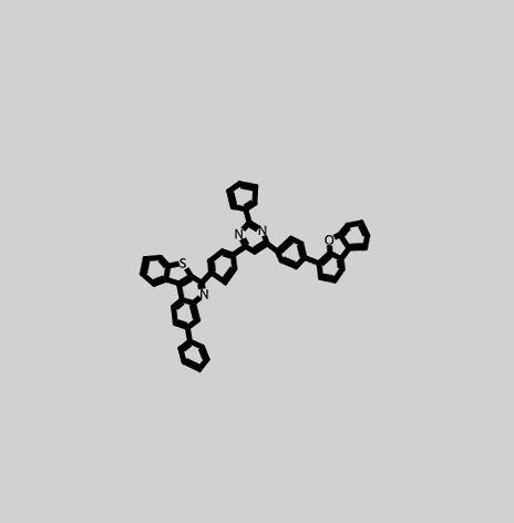 c1ccc(-c2ccc3c(c2)nc(-c2ccc(-c4cc(-c5ccc(-c6cccc7c6oc6ccccc67)cc5)nc(-c5ccccc5)n4)cc2)c2sc4ccccc4c23)cc1